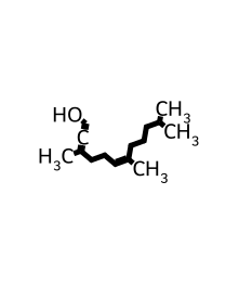 CC(=C=CO)CCC=C(C)CCCC(C)C